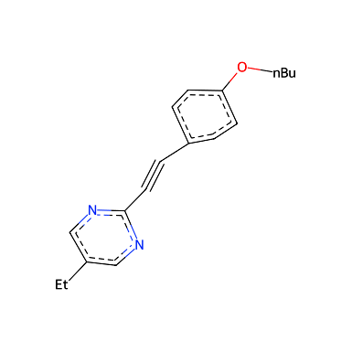 CCCCOc1ccc(C#Cc2ncc(CC)cn2)cc1